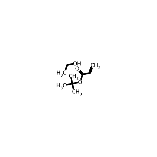 C=CC(=O)OC(C)(C)C.CCO